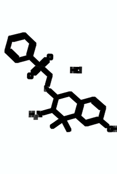 CC1(C)c2cc(O)ccc2CC(SCS(=O)(=O)c2ccccc2)C1N.Cl